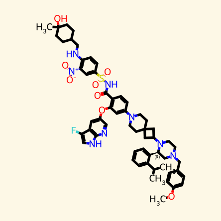 COc1ccc(CN2CCN(C3CC4(CCN(c5ccc(C(=O)NS(=O)(=O)c6ccc(NCC7CCC(C)(O)CC7)c([N+](=O)[O-])c6)c(Oc6cnc7[nH]cc(F)c7c6)c5)CC4)C3)[C@H](c3ccccc3C(C)C)C2)cc1